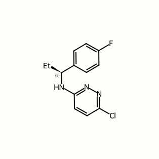 CC[C@H](Nc1ccc(Cl)nn1)c1ccc(F)cc1